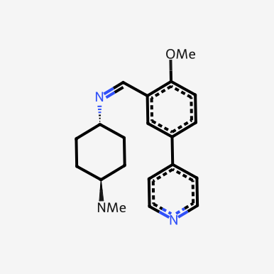 CN[C@H]1CC[C@H](/N=C\c2cc(-c3ccncc3)ccc2OC)CC1